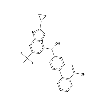 O=C(O)c1ccccc1-c1ccc([C@@H](O)c2cc(C(F)(F)F)cc3nc(C4CC4)cn23)cc1